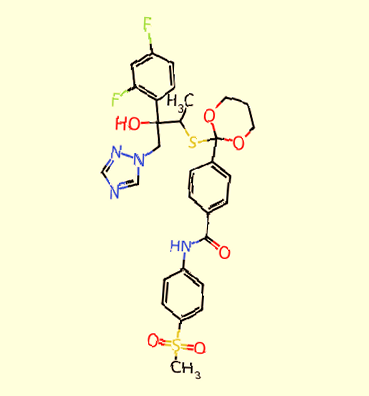 CC(SC1(c2ccc(C(=O)Nc3ccc(S(C)(=O)=O)cc3)cc2)OCCCO1)C(O)(Cn1cncn1)c1ccc(F)cc1F